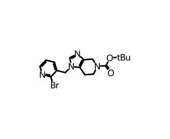 CC(C)(C)OC(=O)N1CCc2c(ncn2Cc2cccnc2Br)C1